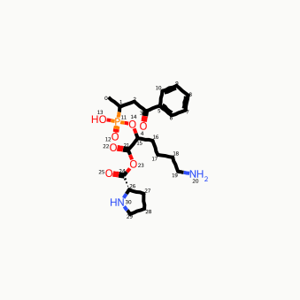 CC(CC(=O)c1ccccc1)P(=O)(O)OC(CCCCN)C(=O)OC(=O)[C@@H]1CCCN1